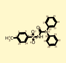 Cc1ccc(S(=O)(=O)NC(=O)N(c2ccccc2)c2ccccc2)cc1